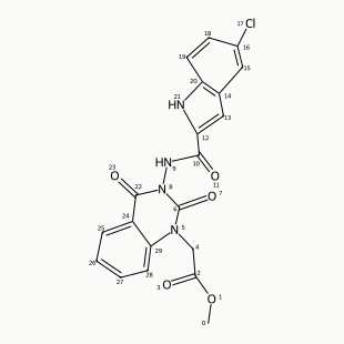 COC(=O)Cn1c(=O)n(NC(=O)c2cc3cc(Cl)ccc3[nH]2)c(=O)c2ccccc21